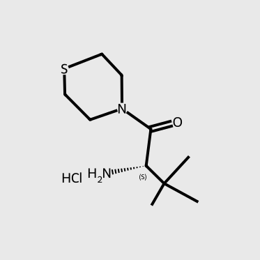 CC(C)(C)[C@H](N)C(=O)N1CCSCC1.Cl